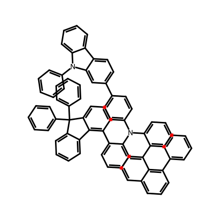 c1ccc(-c2cccc3cccc(-c4ccccc4N(c4ccc(-c5ccc6c7ccccc7n(-c7ccccc7)c6c5)cc4)c4ccccc4-c4cccc5c4-c4ccccc4C5(c4ccccc4)c4ccccc4)c23)cc1